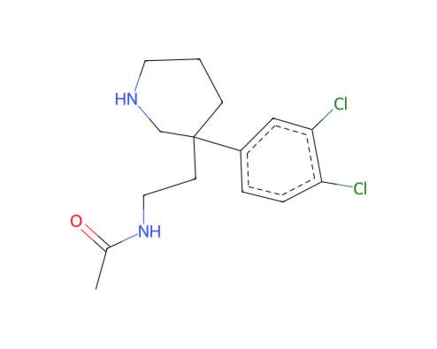 CC(=O)NCCC1(c2ccc(Cl)c(Cl)c2)CCCNC1